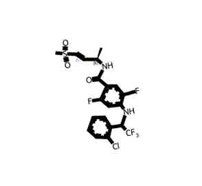 C[C@H](/C=C/S(C)(=O)=O)NC(=O)c1cc(F)c(NC(c2ccccc2Cl)C(F)(F)F)cc1F